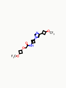 O=C(CO[C@H]1C[C@@H](OC(F)(F)F)C1)NC12CC(n3cnc(C4CC(OC(F)(F)F)C4)c3)(C1)C2